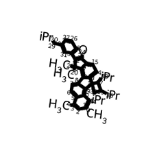 Cc1cc(C)c2ccc3c(c2c1)C1(c2ccc4c(c2-3)C(C)(C)c2c-4oc3ccc(CC(C)C)cc23)C(C(C)C)C(C(C)C)C1C(C)C